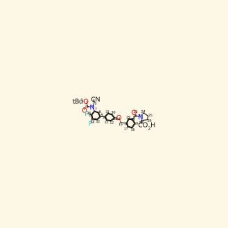 CC(C)(C)OC(=O)N(CC#N)c1cc(-c2ccc(OCc3cccc(C(=O)N4CCC[C@H]4C(=O)O)c3)cc2)cc(F)c1F